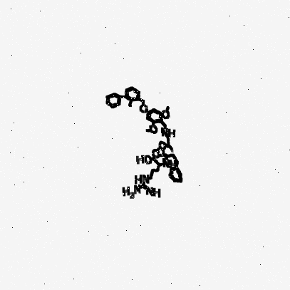 COc1cc(OCc2cccc(-c3ccccc3)c2C)cc(OC)c1CNCC(=O)C[C@H](Cc1ccccc1)C(=O)N[C@@H](CCCNC(=N)N)C(=O)O